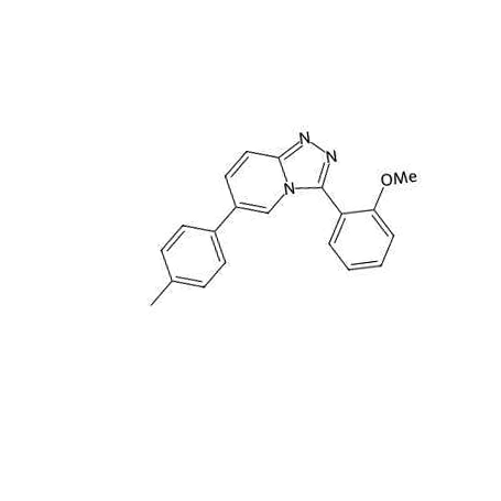 COc1ccccc1-c1nnc2ccc(-c3ccc(C)cc3)cn12